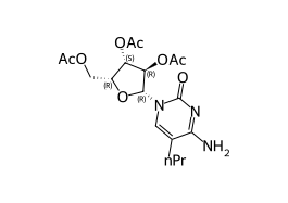 CCCc1cn([C@@H]2O[C@H](COC(C)=O)[C@H](OC(C)=O)[C@H]2OC(C)=O)c(=O)nc1N